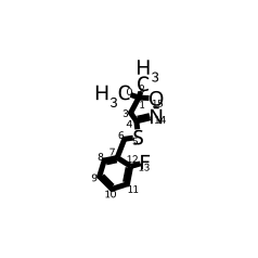 CC1(C)CC(SCc2ccccc2F)=NO1